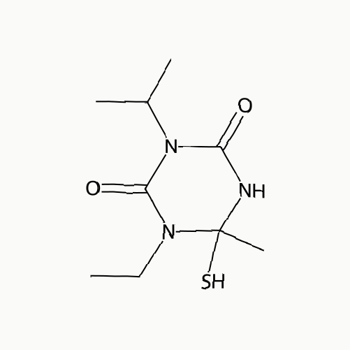 CCN1C(=O)N(C(C)C)C(=O)NC1(C)S